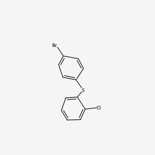 Clc1ccccc1Sc1ccc(Br)cc1